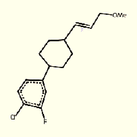 COC/C=C/C1CCC(c2ccc(Cl)c(F)c2)CC1